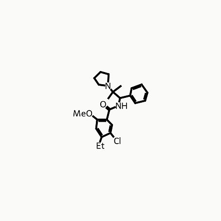 CCc1cc(OC)c(C(=O)NC(c2ccccc2)C(C)(C)N2CCCC2)cc1Cl